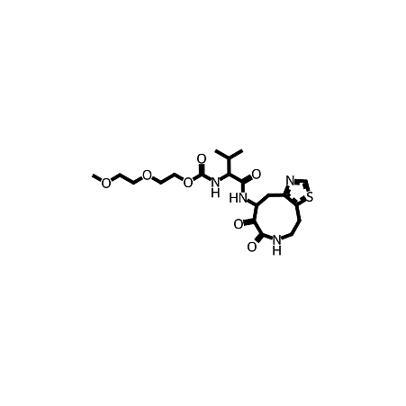 COCCOCCOC(=O)NC(C(=O)NC1Cc2ncsc2CCNC(=O)C1=O)C(C)C